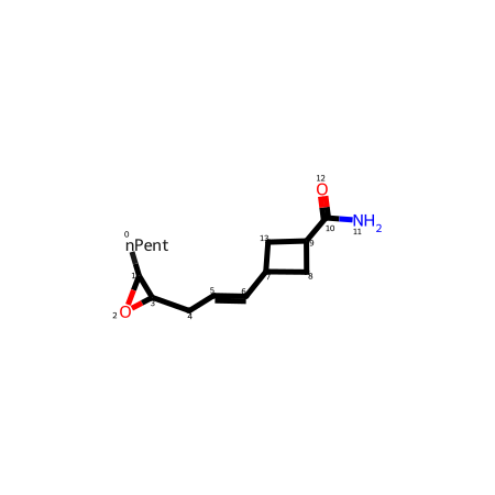 CCCCCC1OC1C/C=C/C1CC(C(N)=O)C1